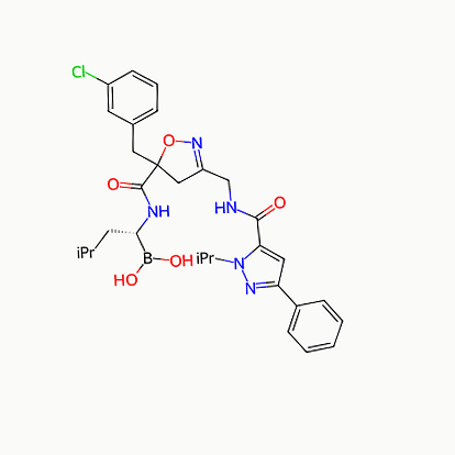 CC(C)C[C@H](NC(=O)C1(Cc2cccc(Cl)c2)CC(CNC(=O)c2cc(-c3ccccc3)nn2C(C)C)=NO1)B(O)O